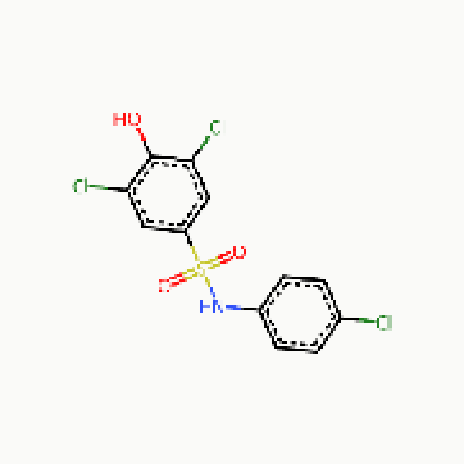 O=S(=O)(Nc1ccc(Cl)cc1)c1cc(Cl)c(O)c(Cl)c1